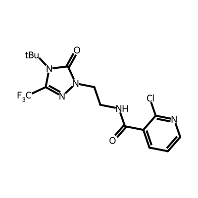 CC(C)(C)n1c(C(F)(F)F)nn(CCNC(=O)c2cccnc2Cl)c1=O